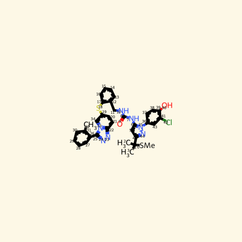 CSC(C)(C)c1cc(NC(=O)NCc2ccccc2Sc2ccc3nnc(-c4ccccc4C)n3c2)n(-c2ccc(O)c(Cl)c2)n1